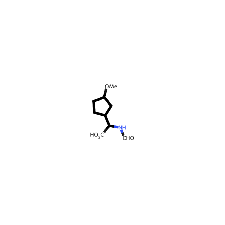 COC1CCC(C(NC=O)C(=O)O)C1